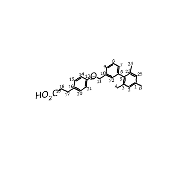 Cc1cc(C)c(-c2cccc(COc3ccc(CCC(=O)O)cc3)c2)c(C)c1